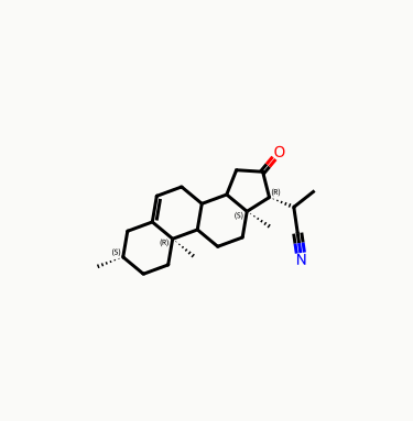 CC(C#N)[C@H]1C(=O)CC2C3CC=C4C[C@@H](C)CC[C@]4(C)C3CC[C@@]21C